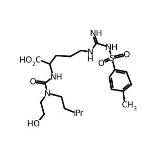 Cc1ccc(S(=O)(=O)NC(=N)NCCCC(NC(=O)N(CCO)CCC(C)C)C(=O)O)cc1